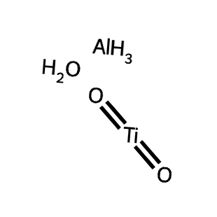 O.[AlH3].[O]=[Ti]=[O]